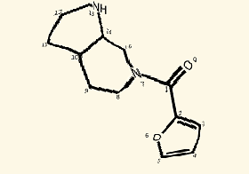 O=C(c1ccco1)N1CCC2CCNC2C1